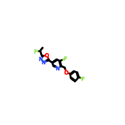 CC(F)c1nnc(-c2cnc(COc3ccc(F)cc3)c(F)c2)o1